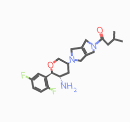 CC(C)CC(=O)N1CC2=C(C1)CN([C@H]1CO[C@H](c3cc(F)ccc3F)[C@@H](N)C1)C2